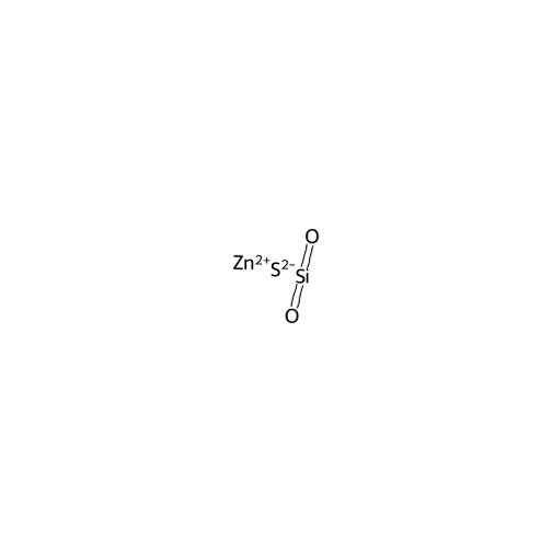 O=[Si]=O.[S-2].[Zn+2]